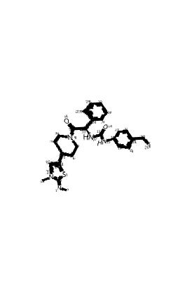 C/N=c1\sc(C2CCN(C(=O)[C@H](NC(=O)Nc3ccc(CI)cc3)c3ccccc3)CC2)cn1C